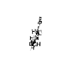 O=[PH](O)OCCCNCc1ccc(NCCCCCc2ccc(F)cc2)c(Cl)c1